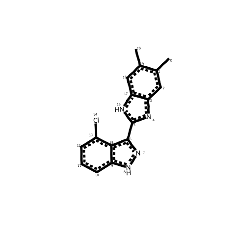 Cc1cc2nc(-c3n[nH]c4cccc(Cl)c34)[nH]c2cc1C